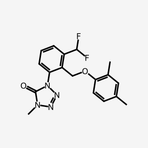 Cc1ccc(OCc2c(C(F)F)cccc2-n2nnn(C)c2=O)c(C)c1